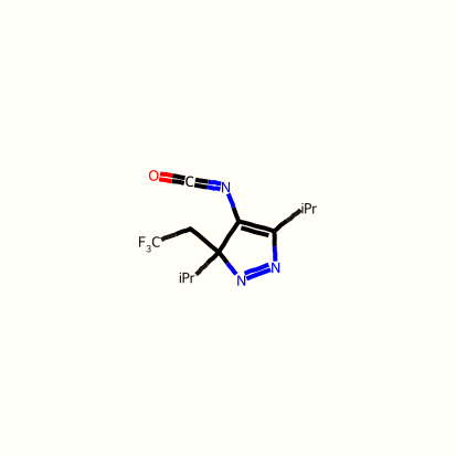 CC(C)C1=C(N=C=O)C(CC(F)(F)F)(C(C)C)N=N1